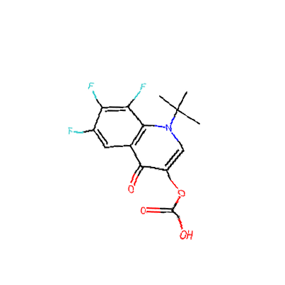 CC(C)(C)n1cc(OC(=O)O)c(=O)c2cc(F)c(F)c(F)c21